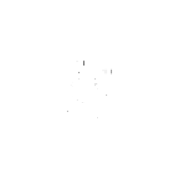 Cc1cc(F)c2c(c1N)CCC2